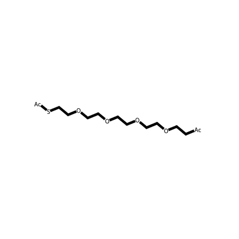 CC(=O)CCOCCOCCOCCOCCSC(C)=O